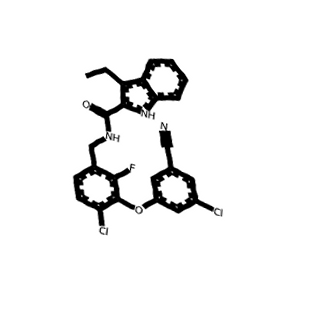 CCc1c(C(=O)NCc2ccc(Cl)c(Oc3cc(Cl)cc(C#N)c3)c2F)[nH]c2ccccc12